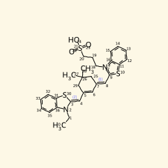 CCN1/C(=C/C2=CC(=C/c3sc4ccccc4[n+]3CCCS(=O)(=O)O)/CC(C)(C)C2)Sc2ccccc21